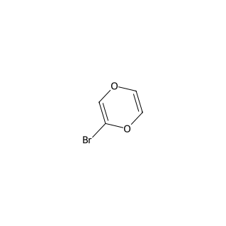 BrC1=COC=CO1